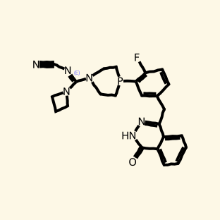 N#C/N=C(\N1CCC1)N1CCP(c2cc(Cc3n[nH]c(=O)c4ccccc34)ccc2F)CC1